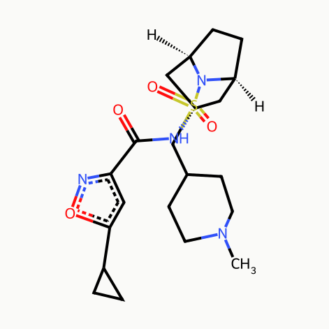 CN1CCC(CS(=O)(=O)N2[C@@H]3CC[C@H]2C[C@H](NC(=O)c2cc(C4CC4)on2)C3)CC1